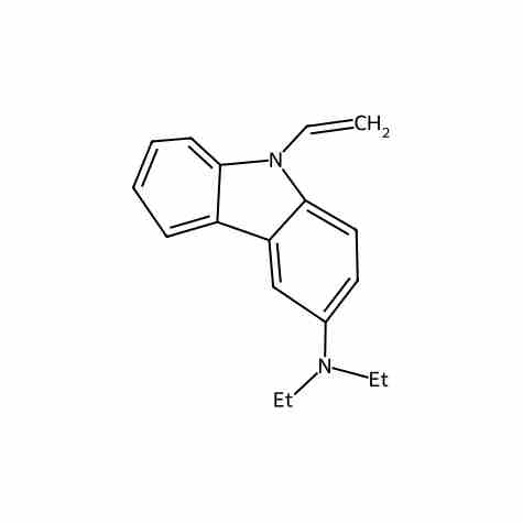 C=Cn1c2ccccc2c2cc(N(CC)CC)ccc21